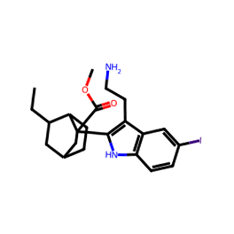 CCC1CC2CCC1C(C(=O)OC)(c1[nH]c3ccc(I)cc3c1CCN)C2